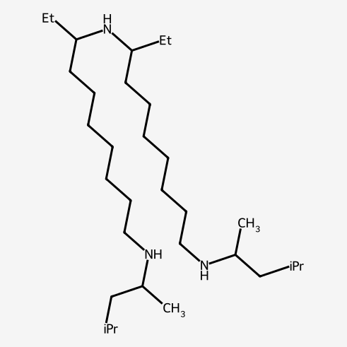 CCC(CCCCCCCNC(C)CC(C)C)NC(CC)CCCCCCCNC(C)CC(C)C